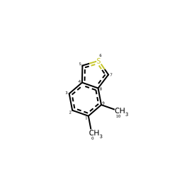 Cc1ccc2cscc2c1C